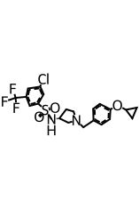 O=S(=O)(N[C@@H]1CCN(Cc2ccc(OC3CC3)cc2)C1)c1cc(Cl)cc(C(F)(F)F)c1